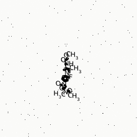 COCC(=O)NC[C@@H]1CN(c2ccc(N3CC(N(C)C(C)=O)OC3=O)cc2F)C[C@H]1C